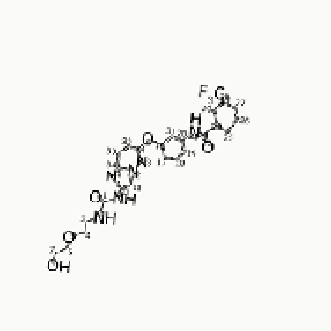 O=C(NCCOCCO)Nc1cn2nc(Oc3cccc(NC(=O)c4cccc(C(F)(F)F)c4)c3)ccc2n1